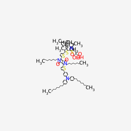 CCCCCCCCc1ccc(N(c2ccc(CCCCCCCC)cc2)c2ccc(-c3ccc(C4=C5C(=O)N(CCCCCCCC)C(c6ccc(-c7cc(B(c8c(C)cc(C)cc8C)c8c(C)cc(C)cc8C)c(-c8ncc(C=C(C(=O)O)C(=O)O)s8)s7)s6)=C5C(=O)N4CCCCCCCC)s3)cc2)cc1